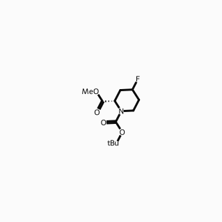 COC(=O)[C@@H]1CC(F)CCN1C(=O)OC(C)(C)C